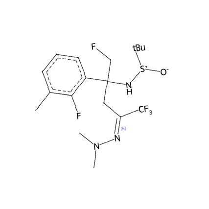 Cc1cccc(C(CF)(C/C(=N\N(C)C)C(F)(F)F)N[S+]([O-])C(C)(C)C)c1F